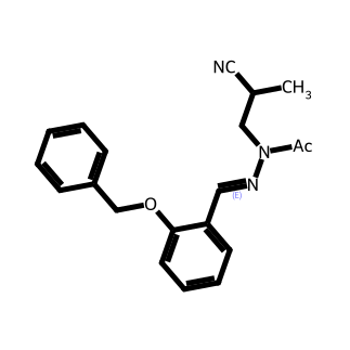 CC(=O)N(CC(C)C#N)/N=C/c1ccccc1OCc1ccccc1